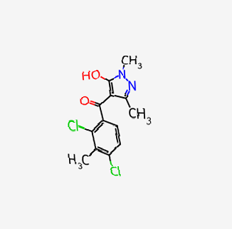 Cc1nn(C)c(O)c1C(=O)c1ccc(Cl)c(C)c1Cl